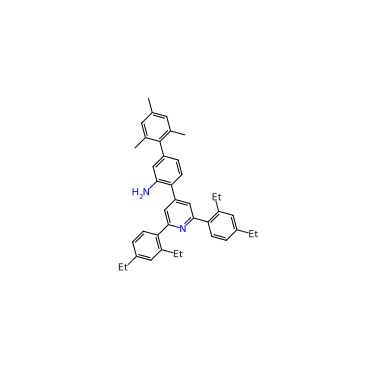 CCc1ccc(-c2cc(-c3ccc(-c4c(C)cc(C)cc4C)cc3N)cc(-c3ccc(CC)cc3CC)n2)c(CC)c1